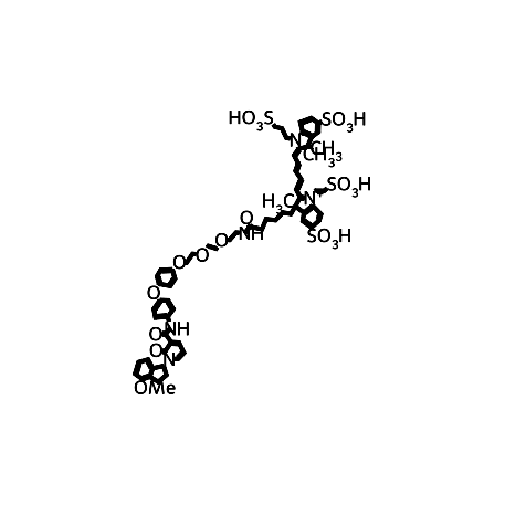 COc1cccc2c1CCC2n1cccc(C(=O)Nc2ccc(Oc3ccc(OCCOCCOCCNC(=O)CCCCCC4(C)C(/C=C/C=C/C=C5/N(CCCS(=O)(=O)O)c6ccc(S(=O)(=O)O)cc6C5(C)C)=[N+](CCS(=O)(=O)O)c5ccc(S(=O)(=O)O)cc54)cc3)cc2)c1=O